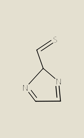 S=CC1N=CC=N1